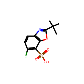 CC(C)(C)c1nc2ccc(Cl)c(S(=O)(=O)O)c2o1